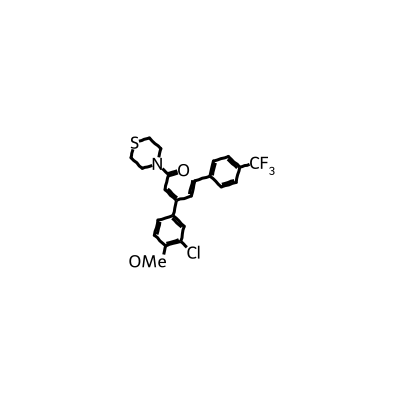 COc1ccc(C(C=Cc2ccc(C(F)(F)F)cc2)=CC(=O)N2CCSCC2)cc1Cl